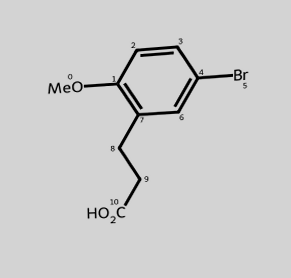 COc1ccc(Br)cc1CCC(=O)O